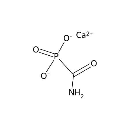 NC(=O)P(=O)([O-])[O-].[Ca+2]